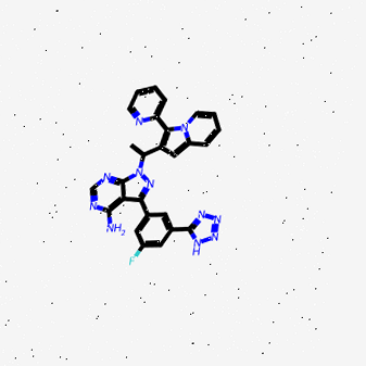 CC(c1cc2ccccn2c1-c1ccccn1)n1nc(-c2cc(F)cc(-c3nnn[nH]3)c2)c2c(N)ncnc21